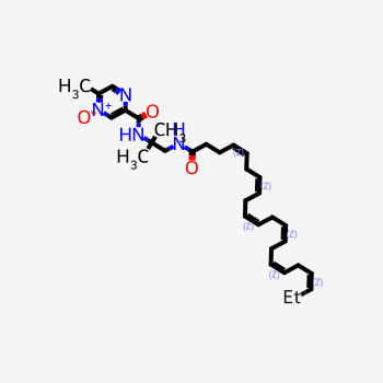 CC/C=C\C/C=C\C/C=C\C/C=C\C/C=C\C/C=C\CCC(=O)NCC(C)(C)NC(=O)c1c[n+]([O-])c(C)cn1